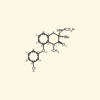 CN1C(=O)C(NC(=O)O)(C(C)(C)C)Cc2cccc(Oc3cccc(Cl)c3)c21